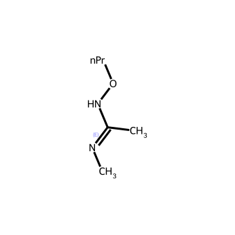 CCCON/C(C)=N/C